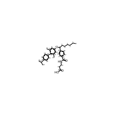 CCCCCCC(Oc1cc(C)c(-c2ccc(C(C)C)cc2)c(C)c1)c1ccc(C(=O)NCCC(=O)O)cc1